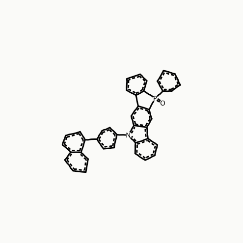 O=P1(c2ccccc2)c2ccccc2-c2cc3c(cc21)c1ccccc1n3-c1ccc(-c2cccc3ccccc23)cc1